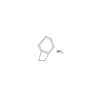 [SiH4].c1ccc2c(c1)CC2